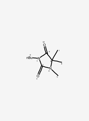 CCCCN1C(=O)N(C)C(C)(C)C1=O